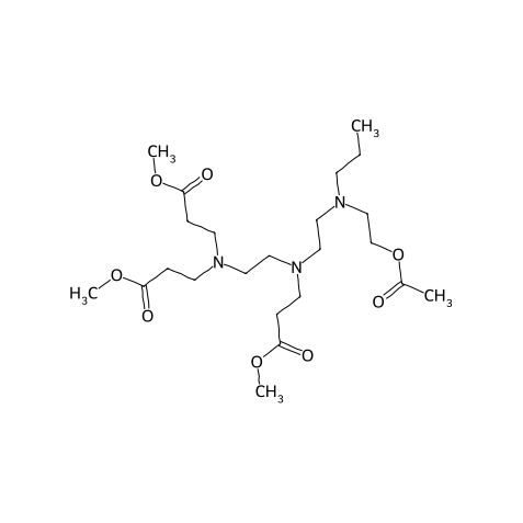 CCCN(CCOC(C)=O)CCN(CCC(=O)OC)CCN(CCC(=O)OC)CCC(=O)OC